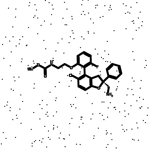 CC(C)(C)OC(=O)NCCOc1cccc(F)c1-c1c(Cl)ccc2c1C[C@@](CN)(c1ccccc1)O2